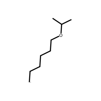 [CH2]CCCCCOC(C)C